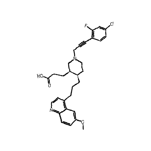 COc1ccc2nccc(CCC[C@@H]3CCN(CC#Cc4ccc(Cl)cc4F)C[C@@H]3CCC(=O)O)c2c1